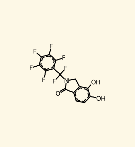 O=C1c2ccc(O)c(O)c2CN1C(F)(F)c1c(F)c(F)c(F)c(F)c1F